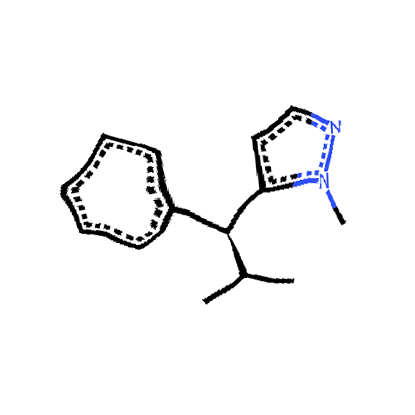 CC(C)[C@@H](c1ccccc1)c1ccnn1C